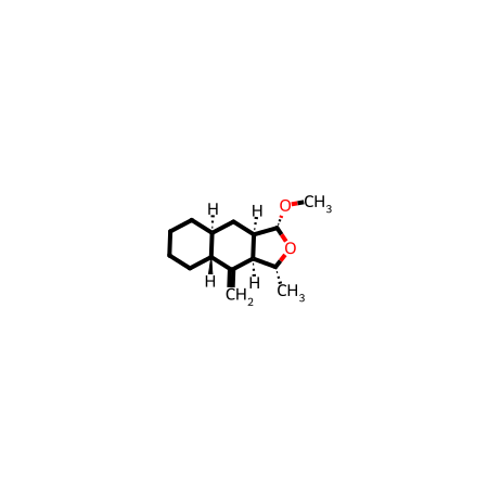 C=C1[C@H]2[C@@H](C[C@@H]3CCCC[C@@H]13)[C@H](OC)O[C@@H]2C